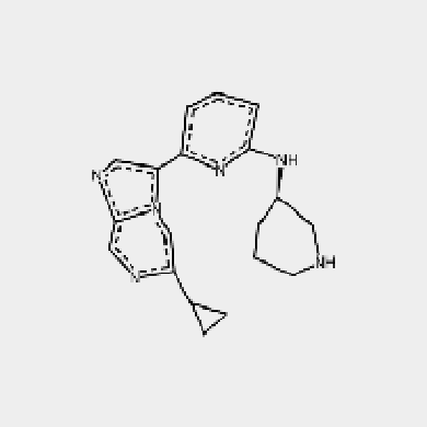 c1cc(N[C@@H]2CCCNC2)nc(-c2cnc3cnc(C4CC4)cn23)c1